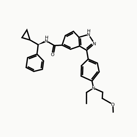 CCN(CCOC)c1ccc(-c2n[nH]c3ccc(C(=O)N[C@@H](c4ccccc4)C4CC4)cc23)cc1